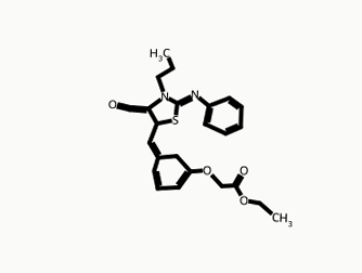 CCCN1C(=C=O)C(C=C2C=CC=C(OCC(=O)OCC)C2)SC1=Nc1ccccc1